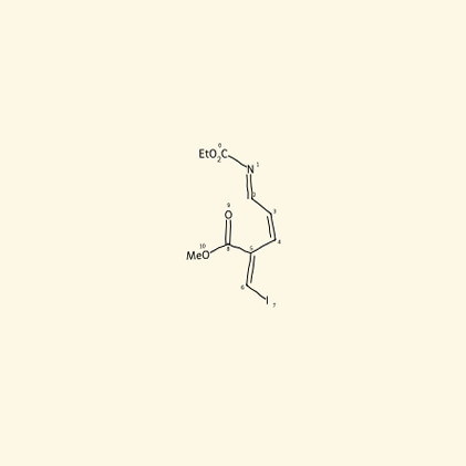 CCOC(=O)/N=C/C=C\C(=C/I)C(=O)OC